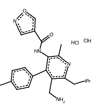 Cc1ccc(-c2c(CN)c(CC(C)C)nc(C)c2NC(=O)c2cnoc2)cc1.Cl.Cl